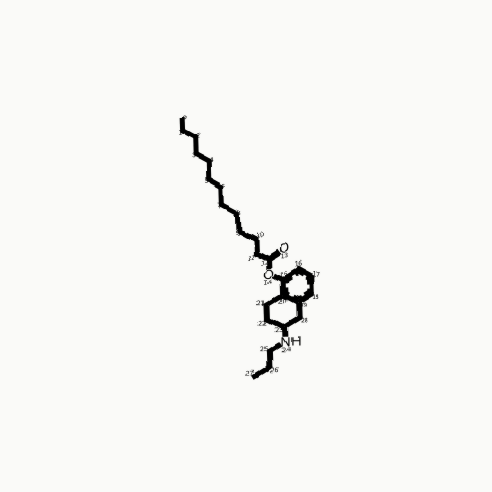 CCCCCCCCCCCCC(=O)Oc1cccc2c1CCC(NCCC)C2